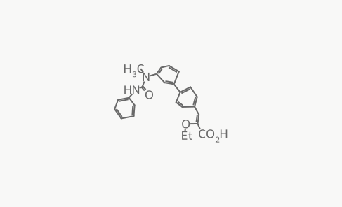 CCOC(=Cc1ccc(-c2cccc(N(C)C(=O)Nc3ccccc3)c2)cc1)C(=O)O